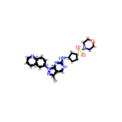 O=S(=O)([C@@H]1CC[C@@H](Nc2ncc3c(Br)nn(-c4ccc5ncccc5c4)c3n2)C1)N1CCOCC1